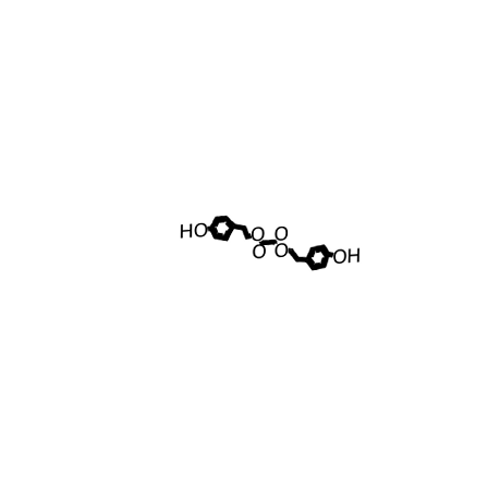 O=C(OCCc1ccc(O)cc1)C(=O)OCCc1ccc(O)cc1